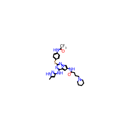 Cc1cc(Nc2nc(Sc3ccc(NC(=O)C(F)(F)F)cc3)nn3cc(NC(=O)CCCN4CCCCC4)cc23)n[nH]1